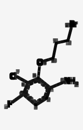 Nc1ccc(F)c(Cl)c1OCCCBr